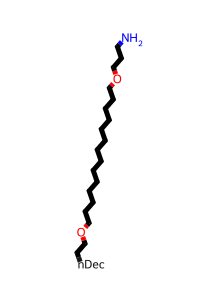 CCCCCCCCCCCCOCCCCCCCCCCCCCCOCCCN